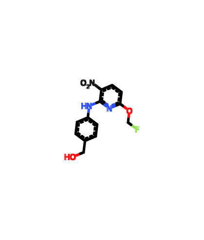 O=[N+]([O-])c1ccc(OCF)nc1Nc1ccc(CO)cc1